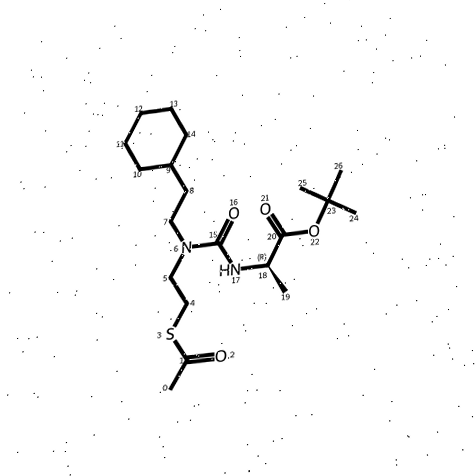 CC(=O)SCCN(CCC1CCCCC1)C(=O)N[C@H](C)C(=O)OC(C)(C)C